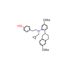 COc1ccc2c(c1)CCC(c1ccc(OC)cc1N(CCc1ccc(O)cc1)CC1CC1)C2